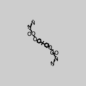 CN(C)CCN(C)CCC(=O)OCCOc1ccc(C(C)(C)c2ccc(OCCOC(=O)CCN(C)CCN(C)C)cc2)cc1